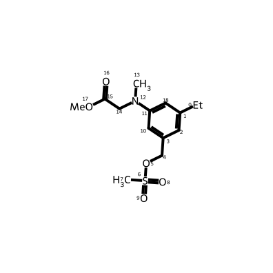 CCc1cc(COS(C)(=O)=O)cc(N(C)CC(=O)OC)c1